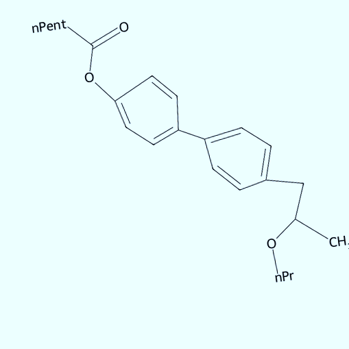 CCCCCC(=O)Oc1ccc(-c2ccc(CC(C)OCCC)cc2)cc1